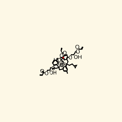 C=CCC(CCC)(Cc1cc(C)cc(C(CCC)(CCC2CC2)Cc2cc(C)ccc2OCC(O)COC(=O)C=C)c1OCC(O)COC(=O)C=C)c1cc(C)ccc1OCC(O)COC(=O)C=C